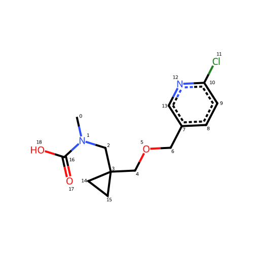 CN(CC1(COCc2ccc(Cl)nc2)CC1)C(=O)O